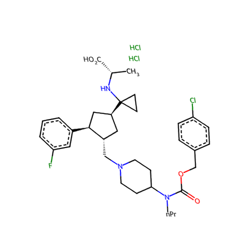 CCCN(C(=O)OCc1ccc(Cl)cc1)C1CCN(C[C@H]2C[C@H](C3(N[C@@H](C)C(=O)O)CC3)C[C@@H]2c2cccc(F)c2)CC1.Cl.Cl